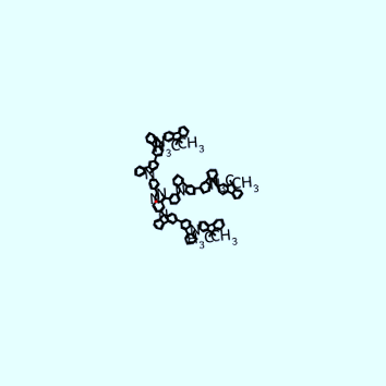 CC1(C)c2ccccc2-c2ccc(-n3c4ccccc4c4cc(-c5ccc6c(c5)c5ccccc5n6-c5ccc(-c6nc(-c7cccc(-n8c9ccccc9c9cc(-c%10ccc%11c(c%10)c%10ccccc%10n%11-c%10ccc%11c(c%10)C(C)(C)c%10ccccc%10-%11)ccc98)c7)c7cc(-n8c9ccccc9c9cc(-c%10ccc%11c(c%10)c%10ccccc%10n%11-c%10ccc%11c(c%10)C(C)(C)c%10ccccc%10-%11)ccc98)ccc7n6)cc5)ccc43)cc21